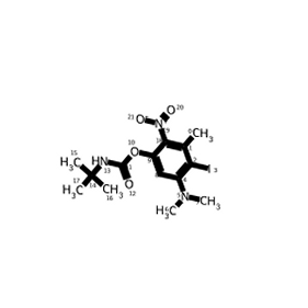 Cc1c(I)c(N(C)C)cc(OC(=O)NC(C)(C)C)c1[N+](=O)[O-]